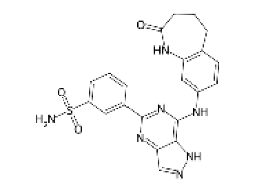 NS(=O)(=O)c1cccc(-c2nc(Nc3ccc4c(c3)NC(=O)CCC4)c3[nH]ncc3n2)c1